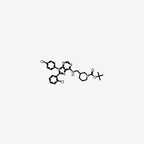 CC(C)(C)OC(=O)N1CCCC(CNc2ncnc3c2nc(-c2ccccc2Cl)n3-c2ccc(Cl)cc2)C1